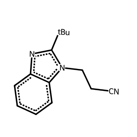 CC(C)(C)c1nc2ccccc2n1CCC#N